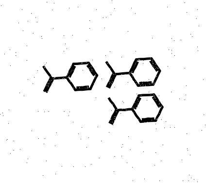 C=C(C)c1ccccc1.C=C(C)c1ccccc1.C=C(C)c1ccccc1